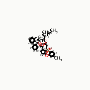 CCCC[C@@H](CC)COC(=O)CCS(=O)(=O)c1ccc(C)cc1O[C@H]1CC[C@@H](CCO[Si](c2ccccc2)(c2ccccc2)C(C)(C)C)C1